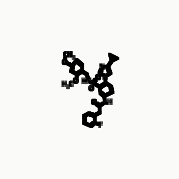 COc1ccc(CNS(=O)(=O)c2cc(NC(=O)Cc3ccccc3F)ccc2-n2cnc(C3CC3)c2)c(OC)c1